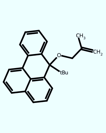 C=C(C)COC1(C(C)(C)C)c2ccccc2-c2cccc3cccc1c23